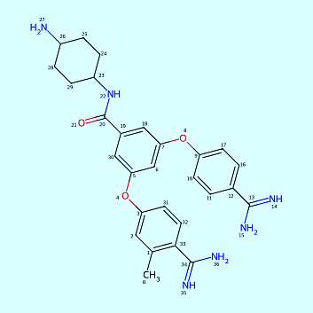 Cc1cc(Oc2cc(Oc3ccc(C(=N)N)cc3)cc(C(=O)NC3CCC(N)CC3)c2)ccc1C(=N)N